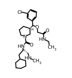 CCNC(=O)COC(c1cccc(Cl)c1)[C@@H]1CCCN(C(=O)N[C@H](CNC)CC2CCCCC2)C1